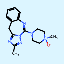 Cc1nc2n(n1)C(N1CC[N+](C)([O-])CC1)=Nc1ccccc1C2